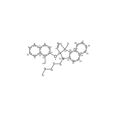 C=CC1(Oc2ccc3ccccc3c2I)N(CCCCC)c2ccc3ccccc3c2C1(C)C